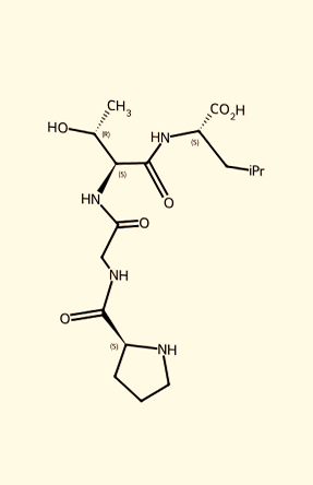 CC(C)C[C@H](NC(=O)[C@@H](NC(=O)CNC(=O)[C@@H]1CCCN1)[C@@H](C)O)C(=O)O